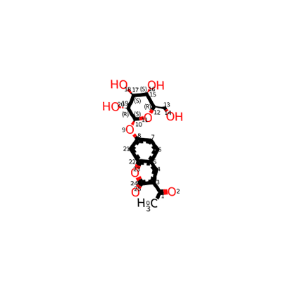 CC(=O)c1cc2ccc(O[C@@H]3O[C@H](CO)[C@@H](O)[C@H](O)[C@H]3O)cc2oc1=O